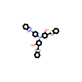 Oc1cc(N(c2ccc(-n3nc4ccccc4n3)cc2)c2ccc(-c3nc4ccccc4s3)c(O)c2)ccc1-c1nc2ccccc2o1